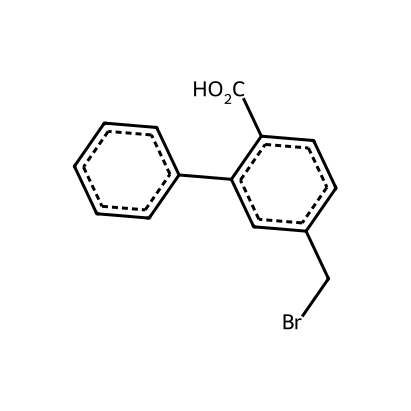 O=C(O)c1ccc(CBr)cc1-c1ccccc1